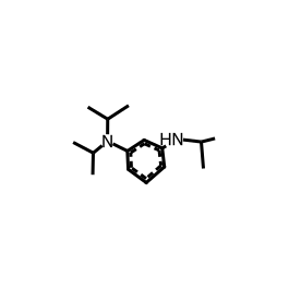 CC(C)Nc1cccc(N(C(C)C)C(C)C)c1